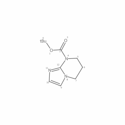 CC(C)(C)OC(=O)N1CCCn2ccnc21